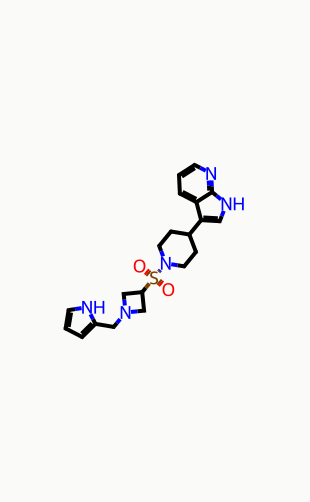 O=S(=O)(C1CN(Cc2ccc[nH]2)C1)N1CCC(c2c[nH]c3ncccc23)CC1